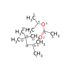 CC(=O)OC(C)C.CC(C)CC(C)(C)C